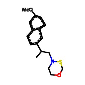 COc1ccc2cc(C(C)CN3CCOCS3)ccc2c1